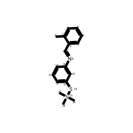 Cc1ccccc1C=Nc1cccc(S[Si](C)(C)C)c1